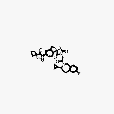 NC1(C(=O)Nc2ccc3c(c2)CC[C@@]32OC(=O)N(CC(=O)N3Cc4ccc(F)cc4CCC3C3CC3)C2=O)CCC1